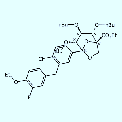 CCCCO[C@@H]1[C@@H](OCCCC)[C@@]2(c3ccc(Cl)c(Cc4ccc(OCC)c(F)c4)c3)OC[C@](C(=O)OCC)(O2)[C@H]1OCCCC